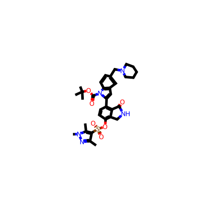 Cc1nn(C)c(C)c1S(=O)(=O)Oc1ccc(-c2cc3cc(CN4CCCCC4)ccc3n2C(=O)OC(C)(C)C)c2c1CNC2=O